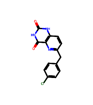 O=c1[nH]c(=O)c2nc(Cc3ccc(Cl)cc3)ccc2[nH]1